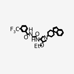 CCOC1CN(C2CCC3(C=Cc4ccccc43)CC2)C[C@@H]1NC(=O)CNC(=O)c1cccc(C(F)(F)F)c1